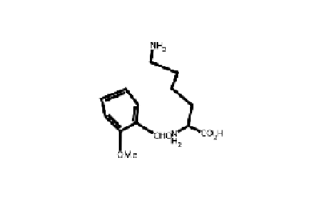 COc1ccccc1C=O.NCCCCC(N)C(=O)O